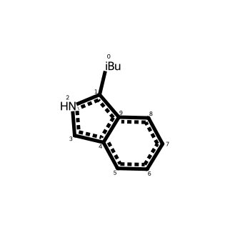 CCC(C)c1[nH]cc2ccccc12